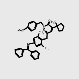 COc1ccc(Cn2nc(Cc3c(C)cc(N=C(c4ccccc4)c4ccccc4)cc3C)cc(C3(C)CCCC3)c2=O)cc1